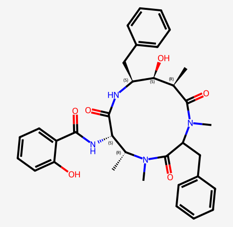 C[C@@H]1[C@H](NC(=O)c2ccccc2O)C(=O)N[C@@H](Cc2ccccc2)[C@@H](O)[C@@H](C)C(=O)N(C)C(Cc2ccccc2)C(=O)N1C